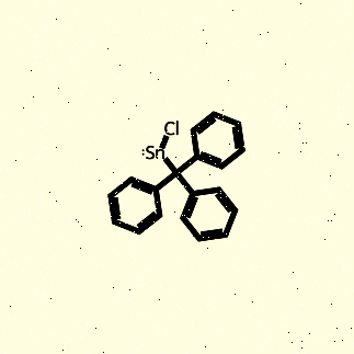 [Cl][Sn][C](c1ccccc1)(c1ccccc1)c1ccccc1